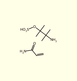 C=CC(N)=O.CC(C)(N)C(C)(C)OS(=O)(=O)O